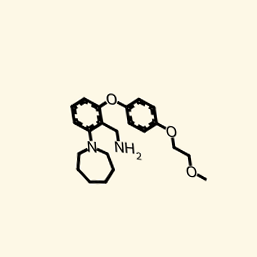 COCCOc1ccc(Oc2cccc(N3CCCCCC3)c2CN)cc1